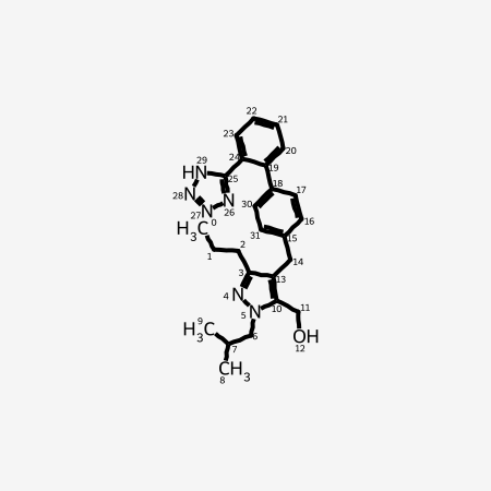 CCCc1nn(CC(C)C)c(CO)c1Cc1ccc(-c2ccccc2-c2nnn[nH]2)cc1